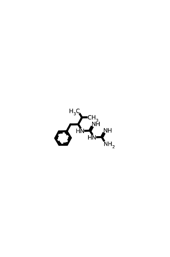 CC(C)C(Cc1ccccc1)NC(=N)NC(=N)N